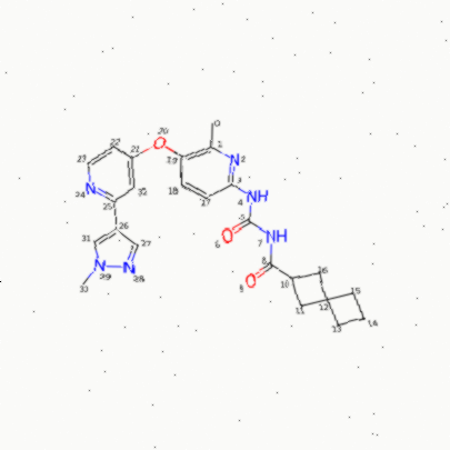 Cc1nc(NC(=O)NC(=O)C2CC3(CCC3)C2)ccc1Oc1ccnc(-c2cnn(C)c2)c1